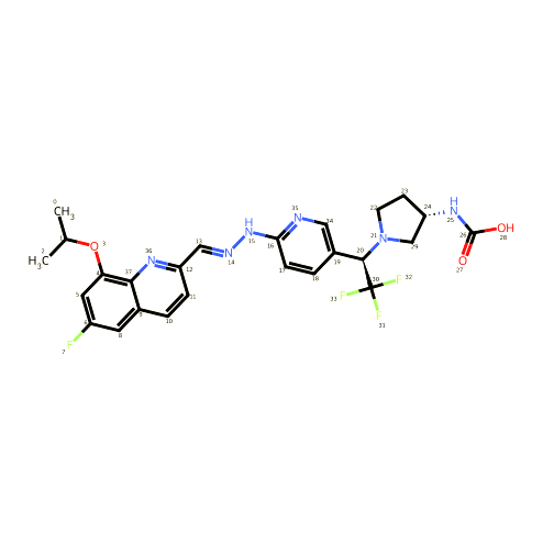 CC(C)Oc1cc(F)cc2ccc(/C=N/Nc3ccc([C@@H](N4CC[C@H](NC(=O)O)C4)C(F)(F)F)cn3)nc12